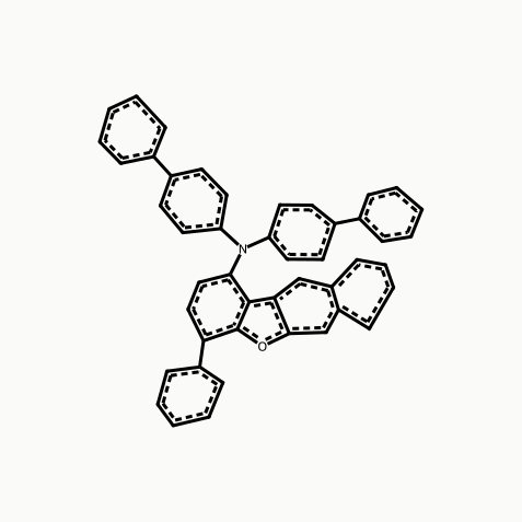 c1ccc(-c2ccc(N(c3ccc(-c4ccccc4)cc3)c3ccc(-c4ccccc4)c4oc5cc6ccccc6cc5c34)cc2)cc1